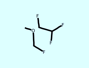 COCF.FCC(F)F